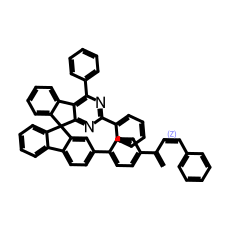 C=C(/C=C\c1ccccc1)c1ccc(-c2ccc3c(c2)C2(c4ccccc4-3)c3ccccc3-c3c(-c4ccccc4)nc(-c4ccccc4)nc32)cc1